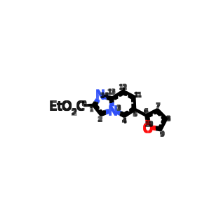 CCOC(=O)c1cn2cc(-c3ccco3)ccc2n1